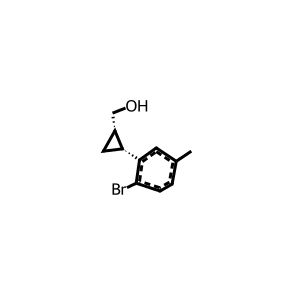 Cc1ccc(Br)c([C@@H]2C[C@@H]2CO)c1